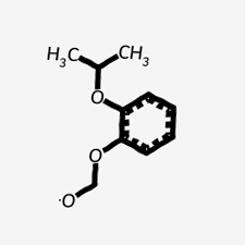 CC(C)Oc1ccccc1OC[O]